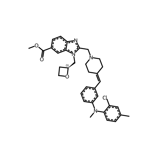 COC(=O)c1ccc2nc(CN3CCC(=Cc4cccc(N(C)c5ccc(C)cc5Cl)c4)CC3)n(C[C@@H]3CCO3)c2c1